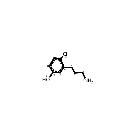 NCCCc1cc(O)ccc1Cl